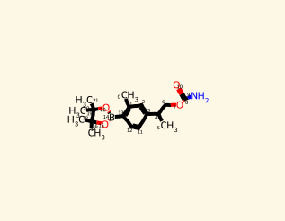 Cc1cc(C(C)COC(N)=O)ccc1B1OC(C)(C)C(C)(C)O1